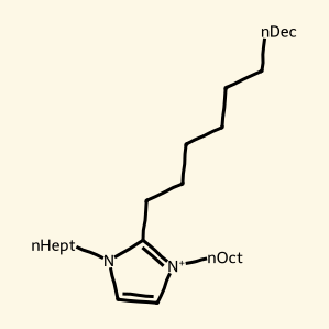 CCCCCCCCCCCCCCCCc1n(CCCCCCC)cc[n+]1CCCCCCCC